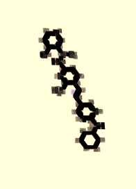 Cc1nc(N[S+]([O-])c2cnccc2Cl)ccc1/C=C/c1cnc(NC2CCCCC2)nc1